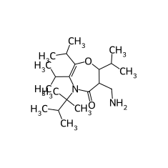 CC(C)C1=C(C(C)C)N(C(C)(C)C(C)C)C(=O)C(CN)C(C(C)C)O1